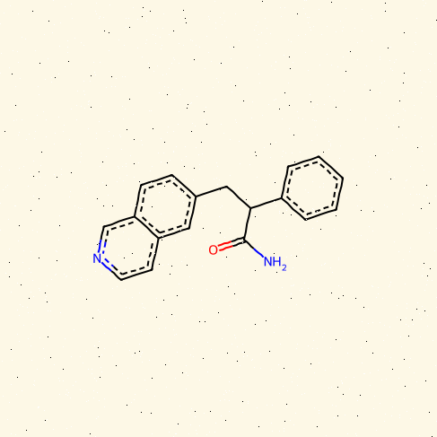 NC(=O)C(Cc1ccc2cnccc2c1)c1ccccc1